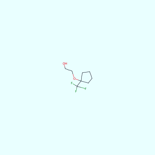 OCCOC1(C(F)(F)F)CCCC1